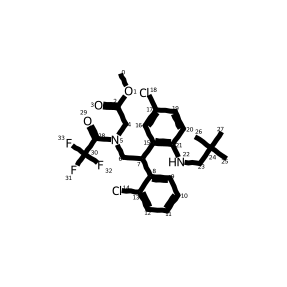 COC(=O)CN(CC(c1ccccc1Cl)c1cc(Cl)ccc1NCC(C)(C)C)C(=O)C(F)(F)F